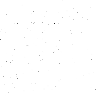 C#CC12CC[C@@H](C)[C@@](C)(C(=O)C[C@](C)(C=C)C=O)C1C1(CC2)OCCO1